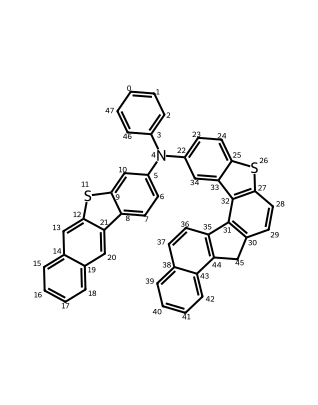 c1ccc(N(c2ccc3c(c2)sc2cc4ccccc4cc23)c2ccc3sc4ccc5c(c4c3c2)-c2ccc3ccccc3c2C5)cc1